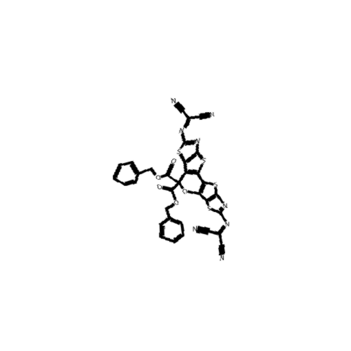 N#CC(C#N)=Nc1nc2sc3c(c2s1)OC(C(=O)OCc1ccccc1)(C(=O)OCc1ccccc1)c1c-3sc2nc(N=C(C#N)C#N)sc12